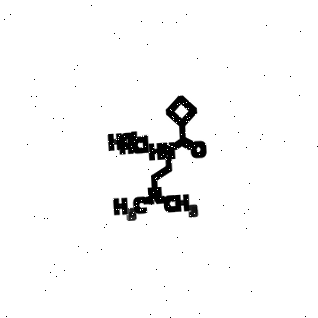 CN(C)CCNC(=O)C1CCC1.Cl.Cl